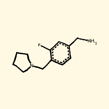 NCc1ccc(CN2CCCC2)c(F)c1